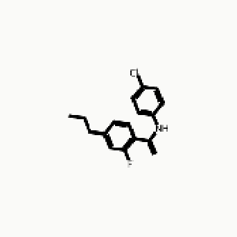 C=C(Nc1ccc(Cl)cc1)c1ccc(CCC)cc1F